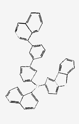 c1cc(-c2cccc(N(c3ccc4sc5ccccc5c4c3)c3cccc4ccccc34)c2)cc(-c2cccc3ccccc23)c1